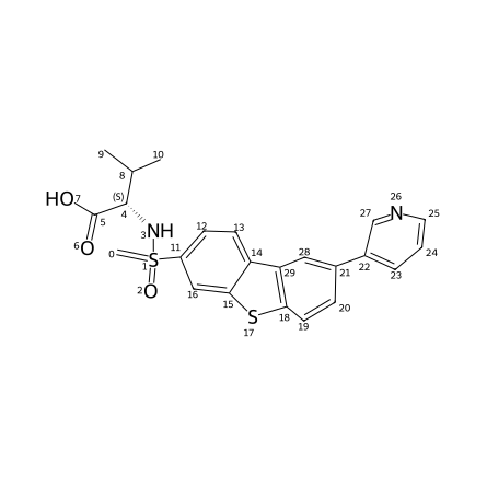 C=S(=O)(N[C@H](C(=O)O)C(C)C)c1ccc2c(c1)sc1ccc(-c3cccnc3)cc12